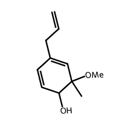 C=CCC1=CC(C)(OC)C(O)C=C1